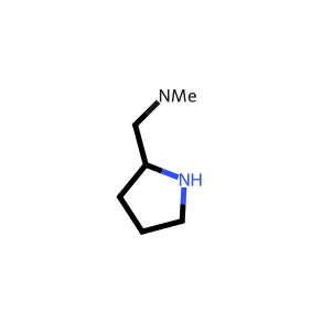 [CH2]NCC1CCCN1